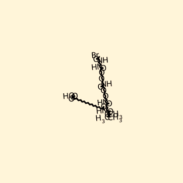 CC(C)(C)OC(=O)C(CCC(=O)NCCOCCOCC(=O)NCCOCCOCC(=O)NCCNC(=O)CBr)NC(=O)CCCCCCCCCCCCCCCS(=O)(=O)O